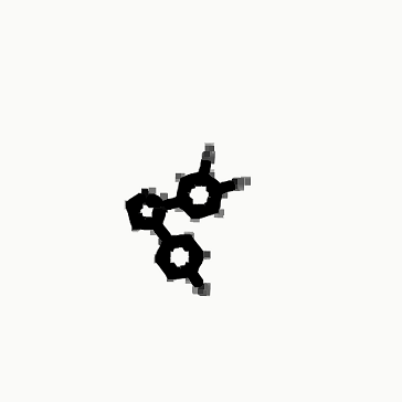 Clc1ccc(-c2c[c]nn2-c2ccc(Cl)c(Cl)c2)cc1